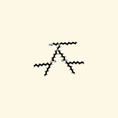 CCCCCCCCCN(CCCO)CCN(CCCCCC(=O)OCC(CCCCCC)CCCCCCCC)CCCCCC(=O)OCC(CCCCCC)CCCCCCCC